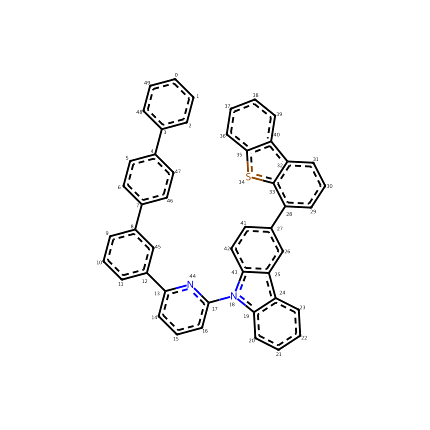 c1ccc(-c2ccc(-c3cccc(-c4cccc(-n5c6ccccc6c6cc(-c7cccc8c7sc7ccccc78)ccc65)n4)c3)cc2)cc1